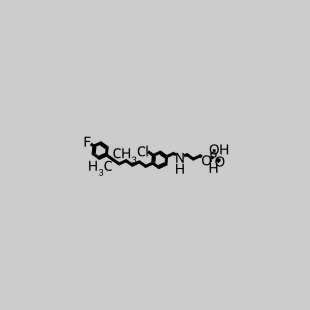 CC(C)(CCCCCc1ccc(CNCCCO[PH](=O)O)cc1Cl)c1ccc(F)cc1